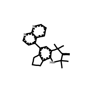 C=C1C(C)(C)Nc2c(cc(-c3ccnc4ncccc34)c3c2CCC3)C1(C)C